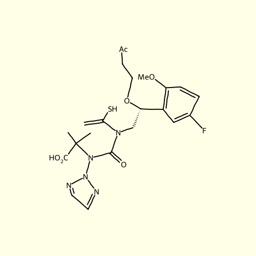 C=C(S)N(C[C@H](OCCC(C)=O)c1cc(F)ccc1OC)C(=O)N(n1nccn1)C(C)(C)C(=O)O